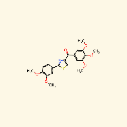 COc1ccc(-c2nc(C(=O)c3cc(OC)c(OC)c(OC)c3)cs2)cc1OC